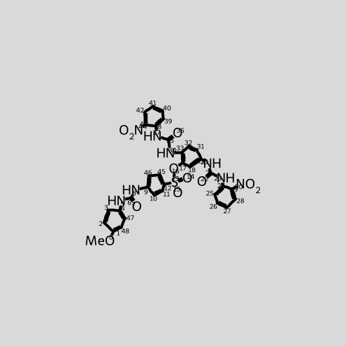 COc1ccc(NC(=O)Nc2ccc(S(=O)(=O)Oc3cc(NC(=O)Nc4ccccc4[N+](=O)[O-])ccc3NC(=O)Nc3ccccc3[N+](=O)[O-])cc2)cc1